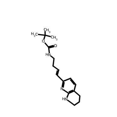 CC(C)(C)OC(=O)NCCC=Cc1ccc2c(n1)NCCC2